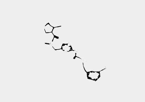 CC1CNCC1C(=O)N(C)Cc1csc(NC(=O)NCc2cccc(F)c2)n1